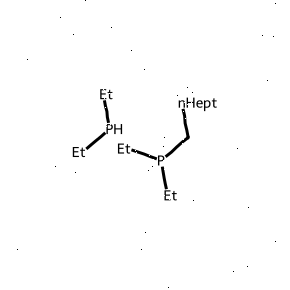 CCCCCCCCP(CC)CC.CCPCC